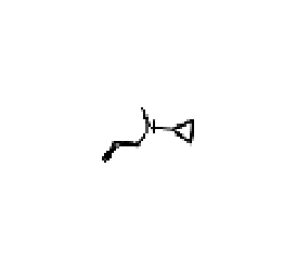 C=CCN(C)C1CC1